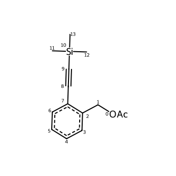 CC(=O)OCc1ccccc1C#C[Si](C)(C)C